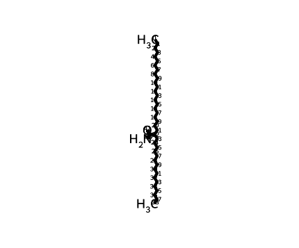 CCCCCCCCCCCCCCCCCCCCCCC(CCCCCCCCCCCCCCCC)C(N)=O